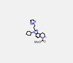 COC(=O)N1c2ccc3c(nc(CCn4nccn4)n3C3CCCCC3)c2CC[C@@H]1C